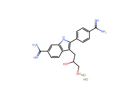 Cl.Cl.N=C(N)c1ccc(-c2[nH]c3cc(C(=N)N)ccc3c2CC(O)CO)cc1